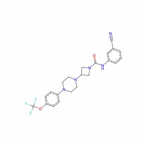 N#Cc1cccc(NC(=O)N2CC(N3CCN(c4ccc(OC(F)(F)F)cc4)CC3)C2)c1